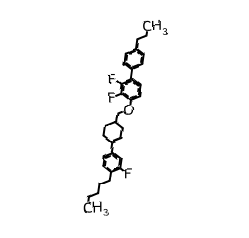 CCCCCc1ccc(C2CCC(COc3ccc(-c4ccc(CCC)cc4)c(F)c3F)CC2)cc1F